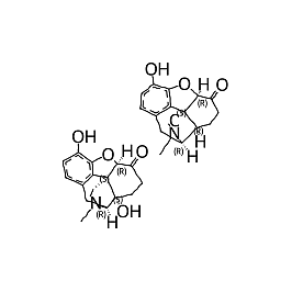 CN1CC[C@]23c4c5ccc(O)c4O[C@H]2C(=O)CC[C@@]3(O)[C@H]1C5.CN1CC[C@]23c4c5ccc(O)c4O[C@H]2C(=O)CC[C@H]3[C@H]1C5